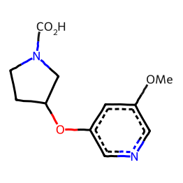 COc1cncc(OC2CCN(C(=O)O)C2)c1